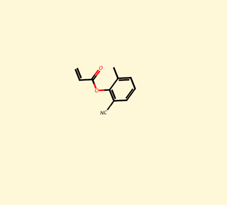 C=CC(=O)Oc1c(C)cccc1C#N